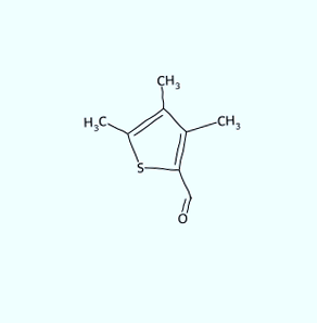 Cc1sc(C=O)c(C)c1C